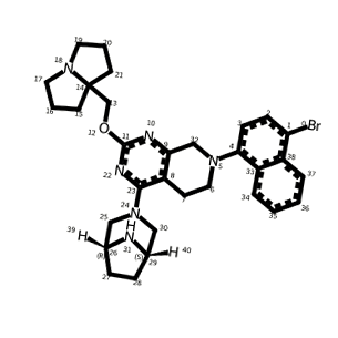 Brc1ccc(N2CCc3c(nc(OCC45CCCN4CCC5)nc3N3C[C@H]4CC[C@@H](C3)N4)C2)c2ccccc12